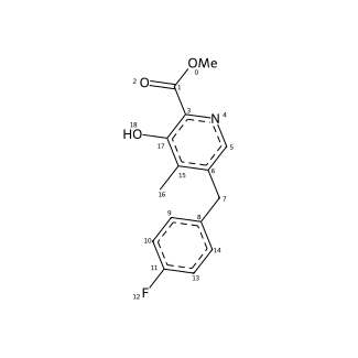 COC(=O)c1ncc(Cc2ccc(F)cc2)c(C)c1O